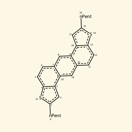 CCCCCc1cc2c(ccc3cc4c(ccc5sc(CCCCC)cc54)cc32)s1